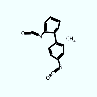 C.O=C=Nc1ccc(-c2ccccc2N=C=O)cc1